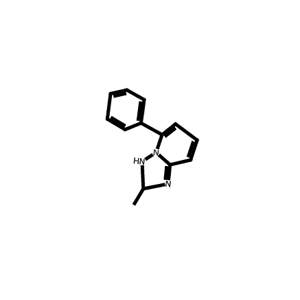 CC1N=C2C=CC=C(c3ccccc3)N2N1